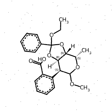 CCOC1(c2ccccc2)O[C@H]2[C@H](O1)[C@H](c1ccccc1C(=O)O)C(OC)O[C@H]2C